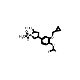 CS(=O)(=O)N1CC(c2ccc(OC(F)F)c(OCC3CC3)c2)CC1C(=O)O